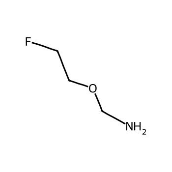 NCOCCF